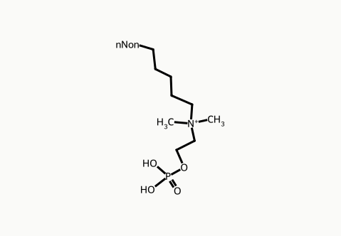 CCCCCCCCCCCCCC[N+](C)(C)CCOP(=O)(O)O